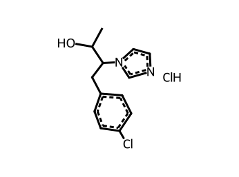 CC(O)C(Cc1ccc(Cl)cc1)n1ccnc1.Cl